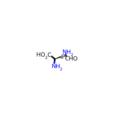 CC(C)[C@@H](N)C(=O)O.NC=O